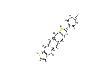 Cc1ccc(-c2cc3cc4cc5cc6ccsc6cc5cc4cc3s2)cc1